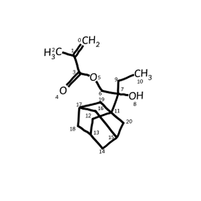 C=C(C)C(=O)OCC(O)(CC)C12CC3CC(CC(C3)C1)C2